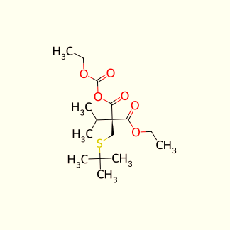 CCOC(=O)OC(=O)[C@](CSC(C)(C)C)(C(=O)OCC)C(C)C